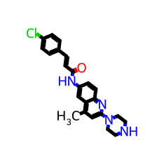 Cc1cc(N2CCNCC2)nc2ccc(NC(=O)C=Cc3ccc(Cl)cc3)cc12